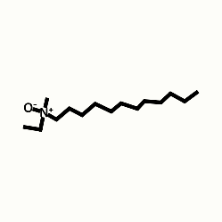 CCCCCCCCCCCC[N+](C)([O-])CC